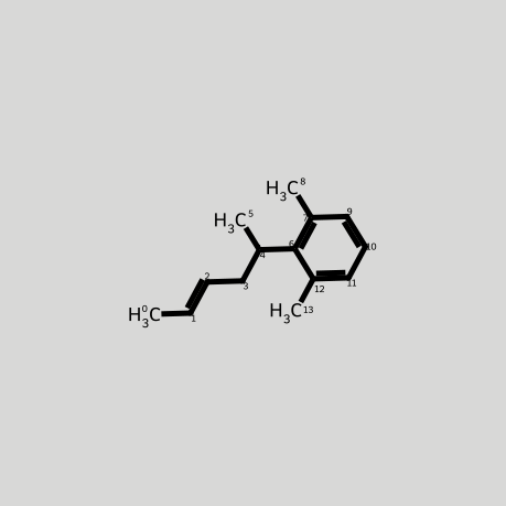 CC=CC[C](C)c1c(C)cccc1C